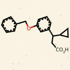 O=C(O)CC(c1cccc(OCc2ccccc2)c1)C1CC1